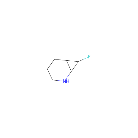 FC1C2CCCNC12